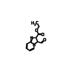 CCOC(=O)C1N=C2C=CC=CN2C1C=O